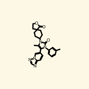 Cc1cccc(-n2c(-c3ccc4ncnn4c3)c(C)n(C3CCC4(CCOC4=O)CC3)c2=O)c1